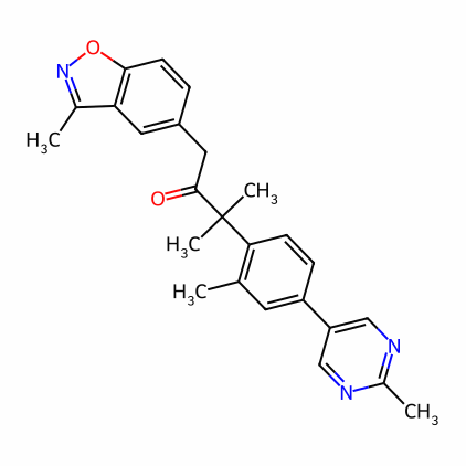 Cc1ncc(-c2ccc(C(C)(C)C(=O)Cc3ccc4onc(C)c4c3)c(C)c2)cn1